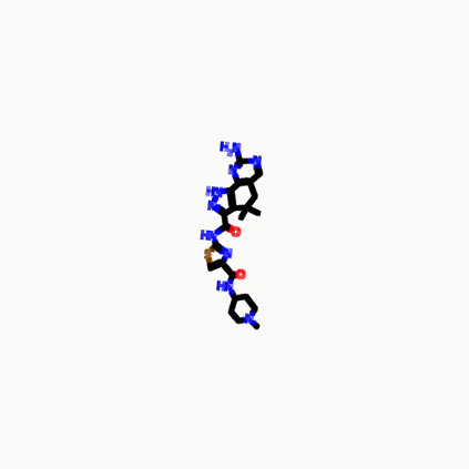 CN1CCC(NC(=O)c2csc(NC(=O)c3n[nH]c4c3C(C)(C)Cc3cnc(N)nc3-4)n2)CC1